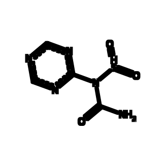 NC(=O)N(c1ncncn1)[SH](=O)=O